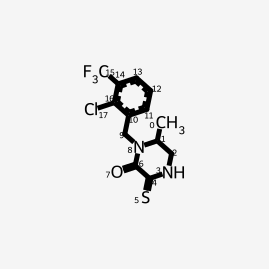 CC1CNC(=S)C(=O)N1Cc1cccc(C(F)(F)F)c1Cl